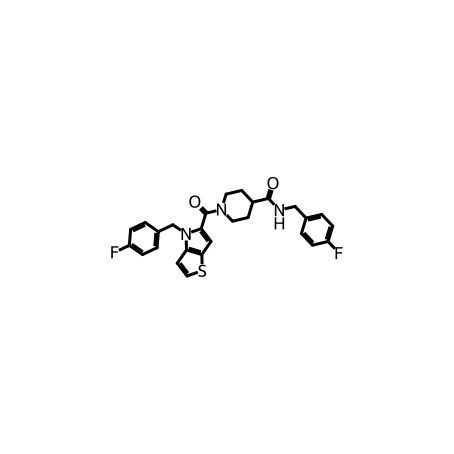 O=C(NCc1ccc(F)cc1)C1CCN(C(=O)c2cc3sccc3n2Cc2ccc(F)cc2)CC1